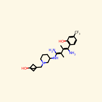 CC(=C(/N)c1ccc(C(F)(F)F)cc1O)/C(C)=C(\N)NC1CCCN(CC23CC(O)(C2)C3)C1